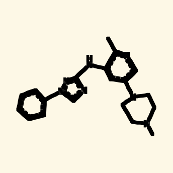 Cc1ncc(N2CCN(C)CC2)cc1Nc1ncn(-c2ccccc2)n1